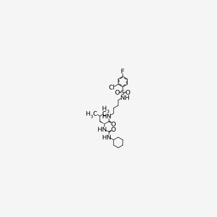 CC(C)C[C@H](NC(=O)NC1CCCCC1)C(=O)NCCCCNS(=O)(=O)c1ccc(F)cc1Cl